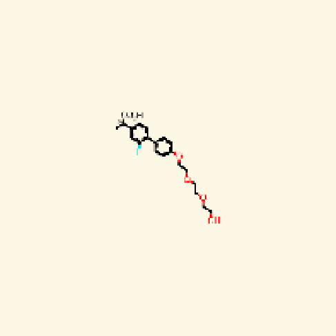 C[C@@H](C(=O)O)c1ccc(-c2ccc(OCCOCCOCCO)cc2)c(F)c1